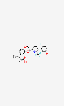 COc1ccc(F)c(-c2ccc([C@@H]3COc4ccc([C@H](C5CC5)[C@H](C)C(=O)O)cc4O3)nc2C(F)(F)F)c1